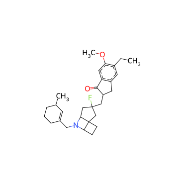 CCc1cc2c(cc1OC)C(=O)C(CC1(F)CC3N(CC4=CC(C)CCC4)C4CCC43C1)C2